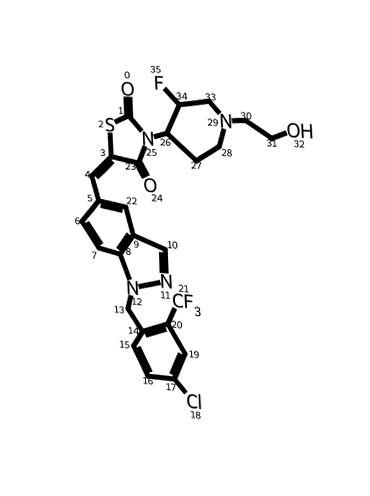 O=C1SC(=Cc2ccc3c(cnn3Cc3ccc(Cl)cc3C(F)(F)F)c2)C(=O)N1C1CCN(CCO)CC1F